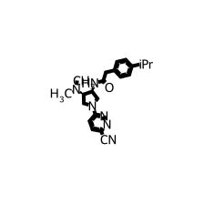 CC(C)c1ccc(CC(=O)N[C@H]2CN(c3ccc(C#N)nn3)C[C@H]2N(C)C)cc1